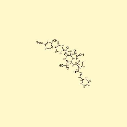 Cc1cc(C#N)ccc1C1=CCN(S(=O)(=O)CC2(C(=O)NO)CCN(C(=O)O)C(C[C@H]3CCCN3C(=O)OCc3ccccc3)C2)CC1